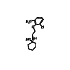 Cc1cccc(Cl)c1OCCNC1(O)CCCCC1